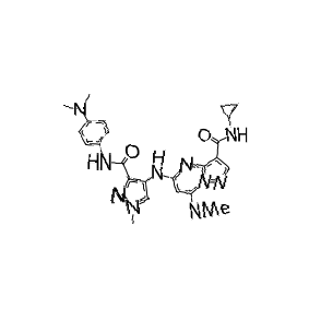 CNc1cc(Nc2cn(C)nc2C(=O)Nc2ccc(N(C)C)cc2)nc2c(C(=O)NC3CC3)cnn12